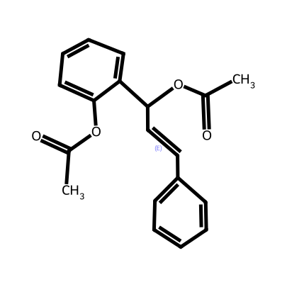 CC(=O)Oc1ccccc1C(/C=C/c1ccccc1)OC(C)=O